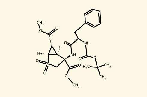 COC(=O)[C@@H]1[C@@H]2[C@H]1S(=O)(=O)C[C@@]2(NC(=O)[C@@H](Cc1ccccc1)NC(=O)OC(C)(C)C)C(=O)OC